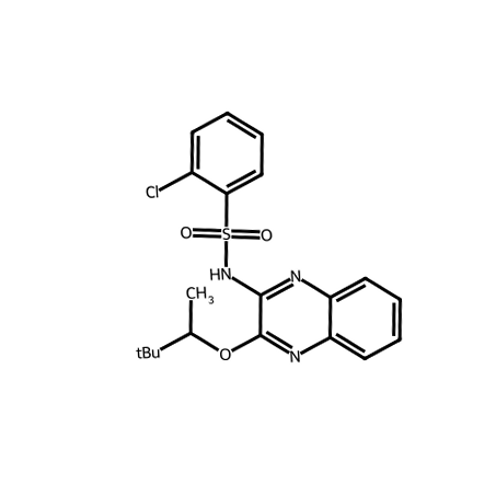 CC(Oc1nc2ccccc2nc1NS(=O)(=O)c1ccccc1Cl)C(C)(C)C